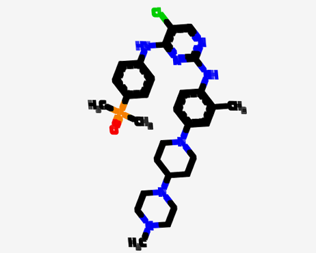 Cc1cc(N2CCC(N3CCN(C)CC3)CC2)ccc1Nc1ncc(Cl)c(Nc2ccc(P(C)(C)=O)cc2)n1